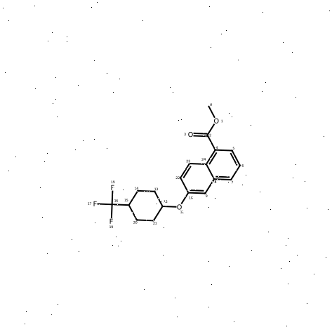 COC(=O)c1cccc2cc(OC3CCC(C(F)(F)F)CC3)ccc12